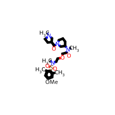 COc1cc(C)c(S(=O)(=O)N(C)CCOCC(=O)N(C)C2CCCN(C(=O)C3CCN(C)C3)C2)c(C)c1